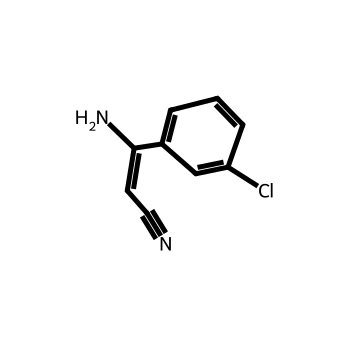 N#C/C=C(/N)c1cccc(Cl)c1